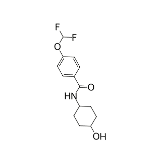 O=C(NC1CCC(O)CC1)c1ccc(OC(F)F)cc1